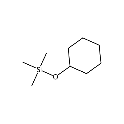 C[Si](C)(C)O[C]1CCCCC1